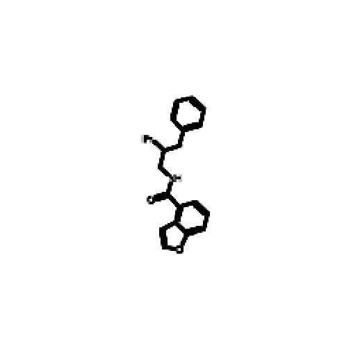 CC(C)C([CH]c1ccccc1)CNC(=O)c1cccc2occc12